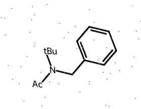 CC(=O)N(Cc1ccccc1)C(C)(C)C